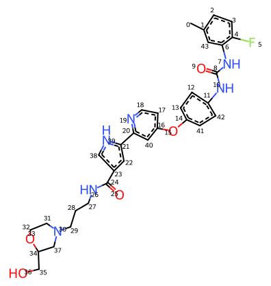 Cc1ccc(F)c(NC(=O)Nc2ccc(Oc3ccnc(-c4cc(C(=O)NCCCN5CCOC(CO)C5)c[nH]4)c3)cc2)c1